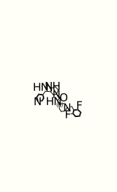 O=C(N[C@@H]1CCCN(Cc2c(F)cccc2F)C1)N1CCC2=C(C1)C(c1ccncc1)NN2